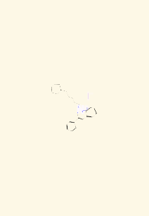 [I-].c1ccc(-c2cc3ccccc3[n+](CCCCCC3CCCCC3)c2)cc1